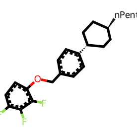 CCCCC[C@H]1CC[C@H](c2ccc(COc3ccc(F)c(F)c3F)cc2)CC1